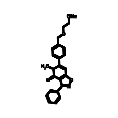 COCCOCc1ccc(-c2cc3onc(-c4ccccc4)c3c(=O)n2C)cc1